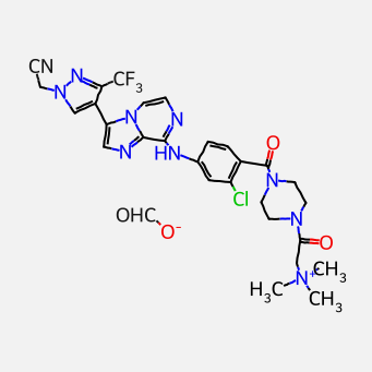 C[N+](C)(C)CC(=O)N1CCN(C(=O)c2ccc(Nc3nccn4c(-c5cn(CC#N)nc5C(F)(F)F)cnc34)cc2Cl)CC1.O=C[O-]